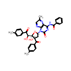 Cc1ccc(C(=O)C(O)[C@H]2O[C@@H](n3c(=O)nc(NC(=O)c4ccccc4)c4nc(C)cnc43)C[C@@]2(O)C(=O)c2ccc(C)cc2)cc1